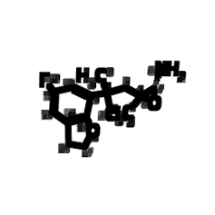 CC(C)(CC1(C(F)(F)F)O[C@H]1N)c1cc(F)cc2c1OCC2